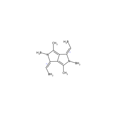 B/C=c1\c2c(C)n(B)/c(=C/B)c2c(C)n1B